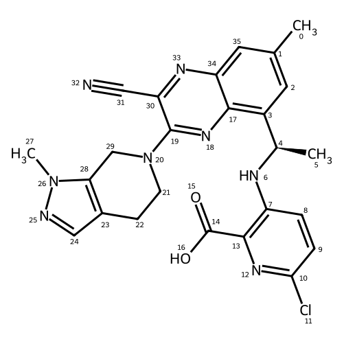 Cc1cc([C@@H](C)Nc2ccc(Cl)nc2C(=O)O)c2nc(N3CCc4cnn(C)c4C3)c(C#N)nc2c1